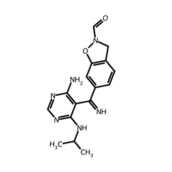 CC(C)Nc1ncnc(N)c1C(=N)c1ccc2c(c1)ON(C=O)C2